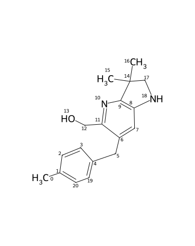 Cc1ccc(Cc2cc3c(nc2CO)C(C)(C)CN3)cc1